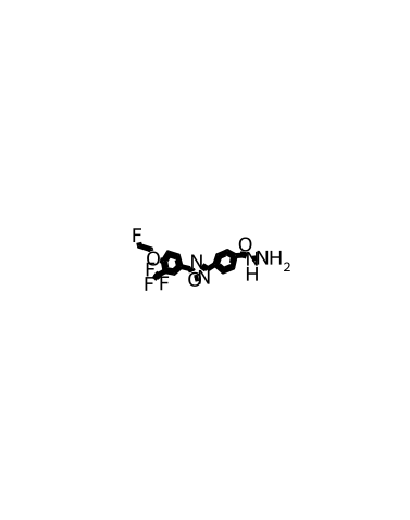 NNC(=O)c1ccc(-c2noc(-c3ccc(OCCF)c(C(F)(F)F)c3)n2)cc1